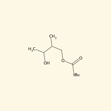 CC(O)C(C)COC(=O)C(C)(C)C